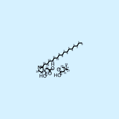 CCCCCCCCCCCCCCCCC1=NCC[N+]1(CO)CC(=O)O.C[N+](C)(C)CC(=O)O